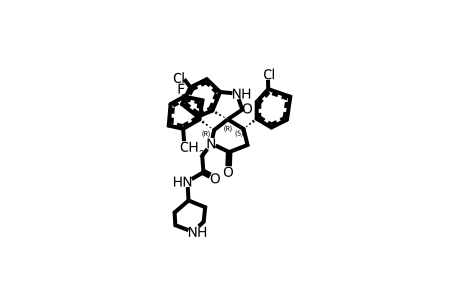 Cc1ccc(F)cc1[C@H]1N(CC(=O)NC2CCNCC2)C(=O)C[C@@H](c2cccc(Cl)c2)[C@]12C(=O)Nc1cc(Cl)ccc12